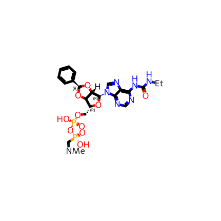 CCNC(=O)Nc1ncnc2c1ncn2[C@@H]1O[C@H](COP(=O)(O)OP(=O)(O)CNC)C2O[C@@H](c3ccccc3)O[C@@H]21